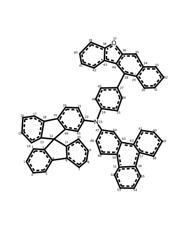 c1ccc2c(c1)-c1ccccc1C21c2ccccc2-c2ccc(N(c3ccc(-c4c5ccccc5cc5oc6ccccc6c45)cc3)c3ccc4c5ccccc5c5ccccc5c4c3)cc21